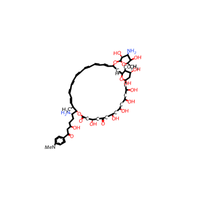 CNc1ccc(C(=O)CC(O)CC[C@H](N)C2OC(=O)C[C@H](O)CC(=O)CC(O)CC(O)CC(O)CC(O)CC3(O)C[C@H](O)C(C(=O)O)[C@H](CC(OC4O[C@H](C)C(O)[C@H](N)[C@@H]4O)/C=C/C=C/C=C/C=C\C=C/C=C/C=C/[C@@H]2C)O3)cc1